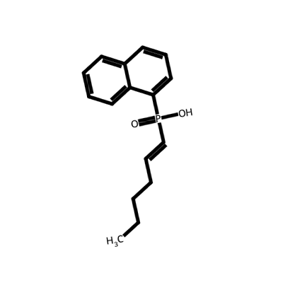 CCCCC=CP(=O)(O)c1cccc2ccccc12